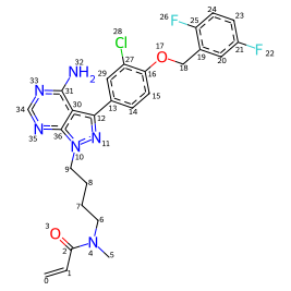 C=CC(=O)N(C)CCCCn1nc(-c2ccc(OCc3cc(F)ccc3F)c(Cl)c2)c2c(N)ncnc21